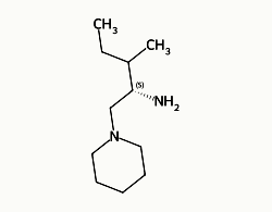 CCC(C)[C@H](N)CN1CCCCC1